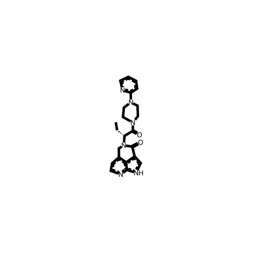 CC[C@H](C(=O)N1CCN(c2ccccn2)CC1)N1Cc2ccnc3[nH]cc(c23)C1=O